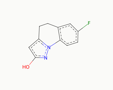 Oc1cc2n(n1)-c1ccc(F)cc1CC2